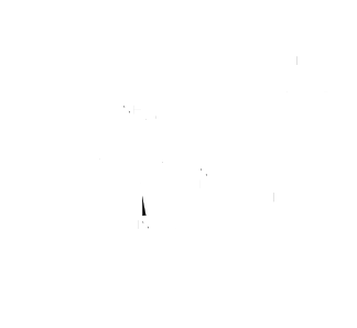 CC1C=CC=C(N)C1[C@H](Nc1cccc(F)c1)C(=O)NC1CCC(F)(F)CC1